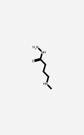 CNCCCC(=O)NN